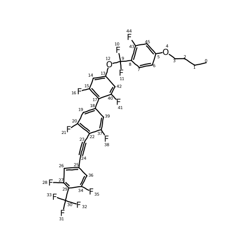 CCCCOc1ccc(C(F)(F)Oc2cc(F)c(-c3cc(F)c(C#Cc4cc(F)c(C(F)(F)F)c(F)c4)c(F)c3)c(F)c2)c(F)c1